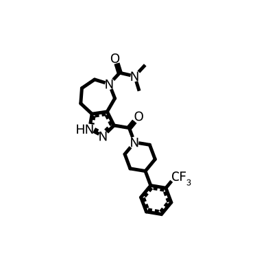 CN(C)C(=O)N1CCCc2[nH]nc(C(=O)N3CCC(c4ccccc4C(F)(F)F)CC3)c2C1